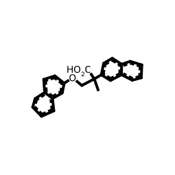 CC(COc1ccc2ccccc2c1)(C(=O)O)c1ccc2ccccc2c1